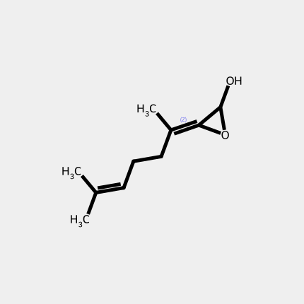 CC(C)=CCC/C(C)=C1\OC1O